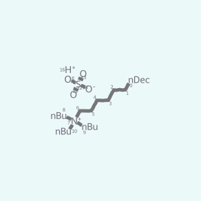 CCCCCCCCCCCCCCCC[N+](CCCC)(CCCC)CCCC.O=S(=O)([O-])[O-].[H+]